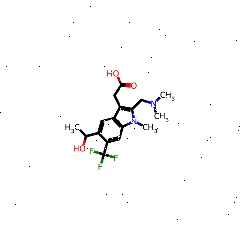 CC(O)c1cc2c(CC(=O)O)c(CN(C)C)n(C)c2cc1C(F)(F)F